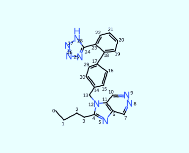 CCCCc1nc2cnncc2n1Cc1ccc(-c2ccccc2-c2nnn[nH]2)cc1